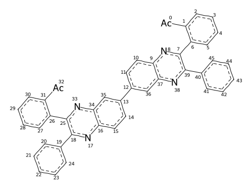 CC(=O)c1ccccc1-c1nc2ccc(-c3ccc4nc(-c5ccccc5)c(-c5ccccc5C(C)=O)nc4c3)cc2nc1-c1ccccc1